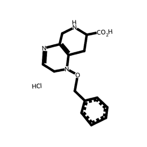 Cl.O=C(O)C1CC2=C(CN1)N=CCN2OCc1ccccc1